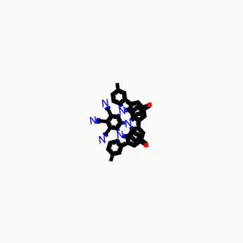 Cc1ccc2c(c1)c1cc(C)ccc1n2-c1c(C#N)c(C#N)c(C#N)c(-n2c3ccc(C)cc3c3cc(C)ccc32)c1-n1c2ccc(C)cc2c2cc(C)ccc21